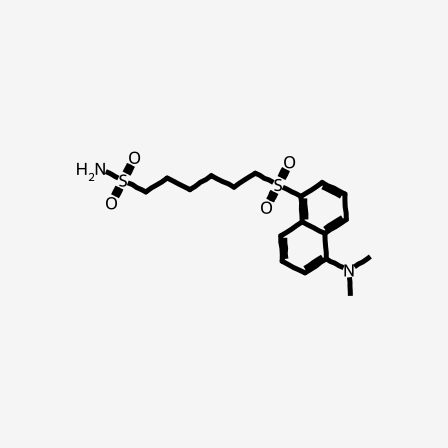 CN(C)c1cccc2c(S(=O)(=O)CCCCCCS(N)(=O)=O)cccc12